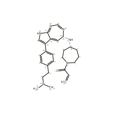 C=CC(=O)N1CCC[C@@H](N[C@@H]2C=c3c(-c4ccc(CCN(C)C)cc4)c[nH]c3=NC=N2)CC1